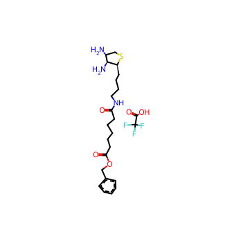 N[C@@H]1[C@H](CCCCNC(=O)CCCCCC(=O)OCc2ccccc2)SC[C@@H]1N.O=C(O)C(F)(F)F